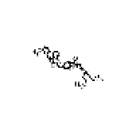 CCCN(CCC)CCCNC(=O)c1ccc(C=C2Sc3ccccc3N(Cc3cccc(C)c3)C2=O)cc1